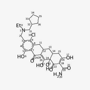 CCN(Cc1cc(O)c2c(c1Cl)CC1CC3CC(O)=C(C(N)=O)C(=O)C3(O)C(O)=C1C2=O)CC1CCCC1